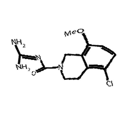 COc1ccc(Cl)c2c1CN(C(=O)N=C(N)N)CC2